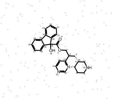 O=C(OCC(C[C@H]1CCCNC1)c1ccncn1)C1(O)c2ccccc2-c2ccccc21